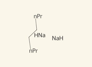 [CH2]CCCCCCC.[NaH].[NaH]